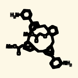 COC(=O)COc1c2cccc1Cc1cc(-c3cccc(N)c3)cc(c1O)Cc1cccc(c1OCC(=O)OC)Cc1cc(-c3cccc(N)c3)cc(c1O)C2